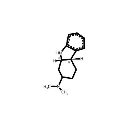 CN(C)C1CC[C@H]2c3ccccc3N[C@H]2C1